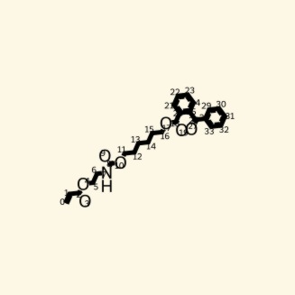 C=CC(=O)OCCNC(=O)OCCCCCCOC(=O)c1ccccc1C(=O)c1ccccc1